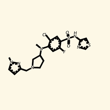 CN(c1cc(F)c(S(=O)(=O)Nc2cscn2)cc1Cl)C1CCN(Cc2ccn(C)n2)C1